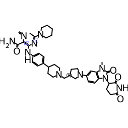 C=N/C(C(N)=O)=C(\N=C(/C)N1CCCCC1)Nc1ccc(C2CCN(C[C@H]3CCN(c4ccc5c(c4)n(C)c(=O)n5C4CCC(=O)NC4=O)C3)CC2)cc1